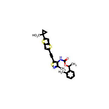 Cc1ccccc1C(C)OC(=O)Nc1c(C)nsc1C#Cc1cc2sc(C3(C(=O)O)CC3)cc2s1